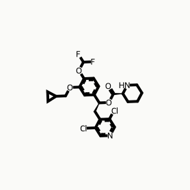 O=C(O[C@@H](Cc1c(Cl)cncc1Cl)c1ccc(OC(F)F)c(OCC2CC2)c1)[C@@H]1CCCCN1